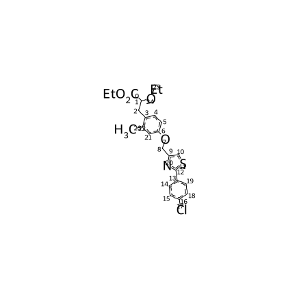 CCOC(=O)C(Cc1ccc(OCc2csc(-c3ccc(Cl)cc3)n2)cc1C)OCC